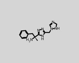 C[C@@](N)(Cc1ccccc1)c1nnc(CN2C=NCN2)[nH]1